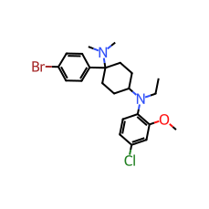 CCN(c1ccc(Cl)cc1OC)C1CCC(c2ccc(Br)cc2)(N(C)C)CC1